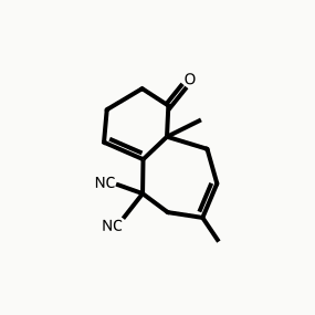 CC1=CCC2(C)C(=O)CCC=C2C(C#N)(C#N)C1